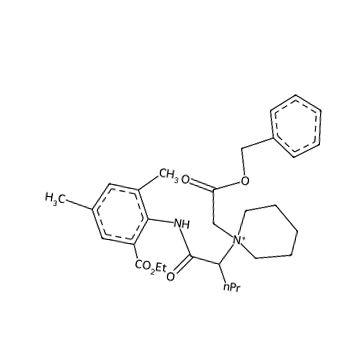 CCCC(C(=O)Nc1c(C)cc(C)cc1C(=O)OCC)[N+]1(CC(=O)OCc2ccccc2)CCCCC1